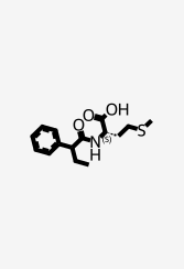 CCC(C(=O)N[C@@H](CCSC)C(=O)O)c1ccccc1